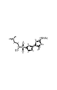 CCN(CCN(C)C)S(=O)(=O)c1ccc(-c2sc(NC(C)=O)nc2C)s1